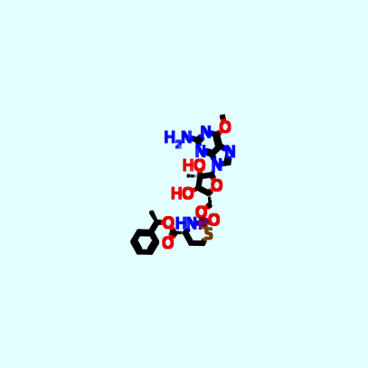 COc1nc(N)nc2c1ncn2[C@@H]1O[C@H](COP2(=O)N[C@@H](C(=O)O[C@H](C)c3ccccc3)CCS2)[C@@H](O)[C@@]1(C)O